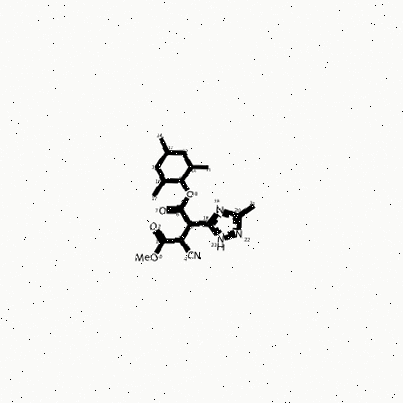 COC(=O)C(C#N)C(C(=O)OC1C(C)CC(C)CC1C)c1nc(C)n[nH]1